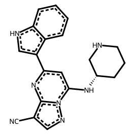 N#Cc1cnn2c(N[C@H]3CCCNC3)cc(-c3c[nH]c4ccccc34)nc12